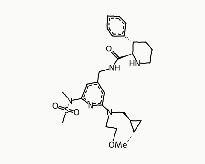 COCCN(C[C@H]1C[C@@H]1C)c1cc(CNC(=O)[C@@H]2NCCC[C@H]2c2ccccc2)cc(N(C)S(C)(=O)=O)n1